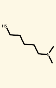 CN(C)CCCCCS